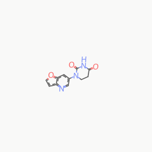 O=C1CCN(c2cnc3ccoc3c2)C(=O)N1